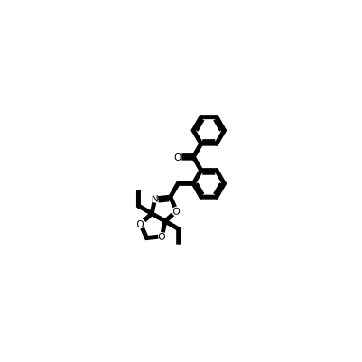 CCC12N=C(Cc3ccccc3C(=O)c3ccccc3)OC1(CC)OCO2